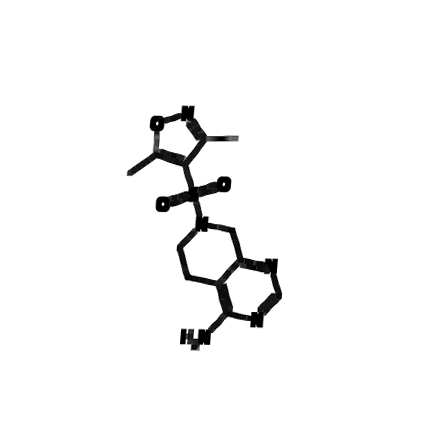 Cc1noc(C)c1S(=O)(=O)N1CCc2c(N)ncnc2C1